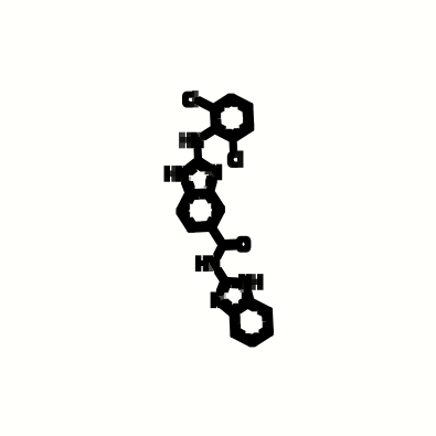 O=C(Nc1nc2ccccc2[nH]1)c1ccc2[nH]c(Nc3c(Cl)cccc3Cl)nc2c1